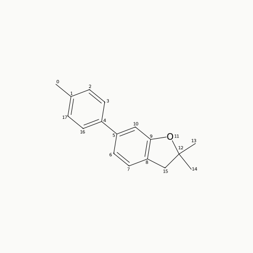 Cc1ccc(-c2ccc3c(c2)OC(C)(C)C3)cc1